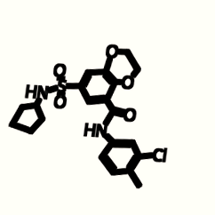 Cc1ccc(NC(=O)c2cc(S(=O)(=O)NC3CCCC3)cc3c2OCCO3)cc1Cl